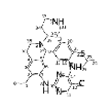 CCc1cc2c(cc1Nc1ncc(Cl)c(Nc3ccccc3SC(C)C)n1)CN(C1CCNCC1)CC2